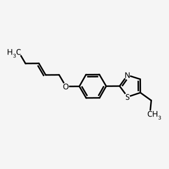 CCC=CCOc1ccc(-c2ncc(CC)s2)cc1